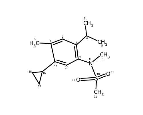 Cc1cc(C(C)C)c(N(C)S(C)(=O)=O)cc1C1CC1